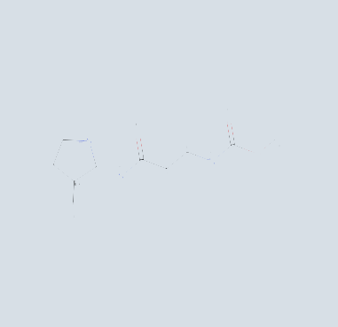 CC(C)(C)OC(=O)NCCC(=O)N[C@H]1NCCC1C(=O)O